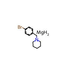 Brc1ccc(CN2CCCCC2)cc1.[MgH2]